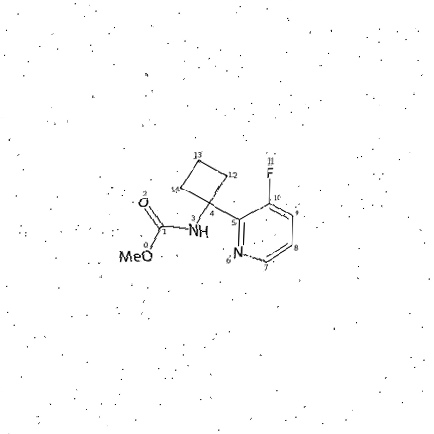 COC(=O)NC1(c2ncccc2F)CCC1